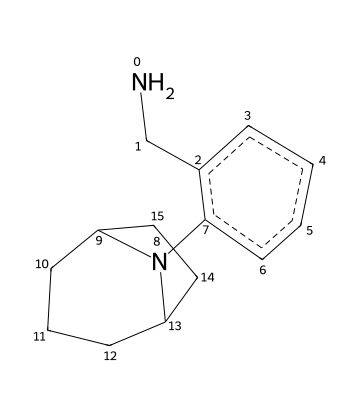 NCc1ccccc1N1C2CCCC1CC2